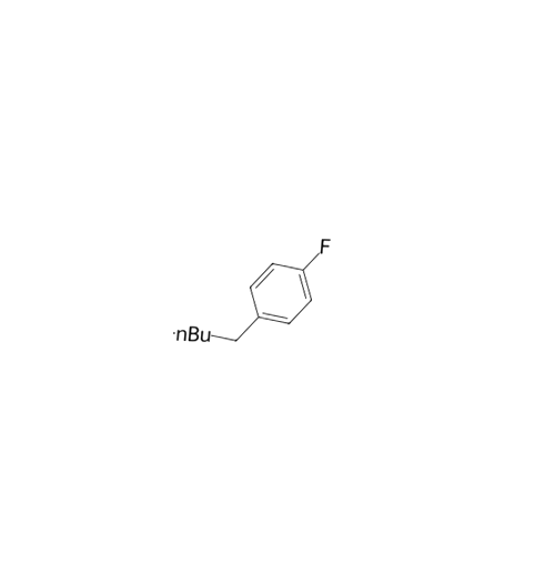 CCC[CH]Cc1ccc(F)cc1